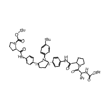 COC(=O)NC(C(=O)N1CCCC1C(=O)Nc1ccc([C@@H]2CC[C@@H](c3ccc(NC(=O)C4CCCN4C(=O)OC(C)(C)C)cc3)N2c2ccc(C(C)(C)C)cc2)cc1)C(C)C